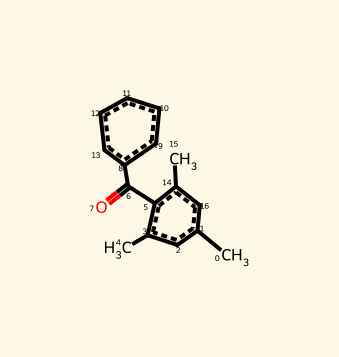 Cc1cc(C)c(C(=O)c2[c]cccc2)c(C)c1